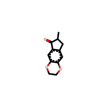 CC1Cc2cc3c(cc2C1=O)OCCO3